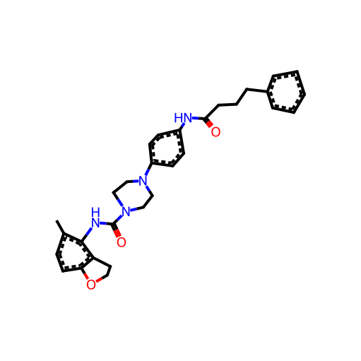 Cc1ccc2c(c1NC(=O)N1CCN(c3ccc(NC(=O)CCCc4ccccc4)cc3)CC1)CCO2